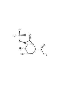 NC(=O)C1CC[C@@H]2CN1C(=O)N2OS(=O)(=O)[O-].[Na+]